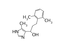 Cc1cccc(C)c1CCC(O)c1nc[nH]c1C